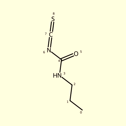 CCCNC(=O)N=C=S